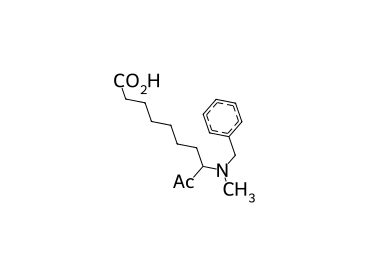 CC(=O)C(CCCCCCC(=O)O)N(C)Cc1ccccc1